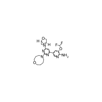 Nc1ncc(-c2cc(N3C[C@@H]4C[C@H]3CO4)nc(N3CCCCOCCC3)n2)cc1OC(F)F